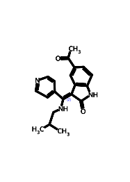 CC(=O)c1ccc2c(c1)/C(=C(/NCC(C)C)c1ccncc1)C(=O)N2